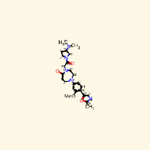 COc1cc(N2CCC(=O)N(CC(=O)N3CCC(N(C)C)C3)CC2)ccc1-c1cnc(C)o1